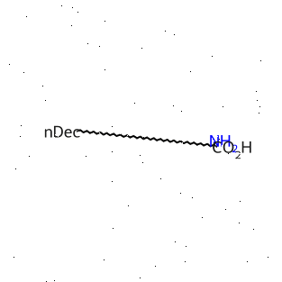 CCCCCCCCCCCCCCCCCCCCCCCCCCCCCCCCCCCCCCCCCCCCCCCCCCC(N)C(=O)O